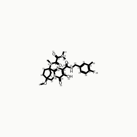 COC12CCC(N(C)C(=O)C(=O)N(C)C)(CC1)c1nc(C(=O)NCc3ccc(F)c(C)c3)c(O)c(=O)n1C2